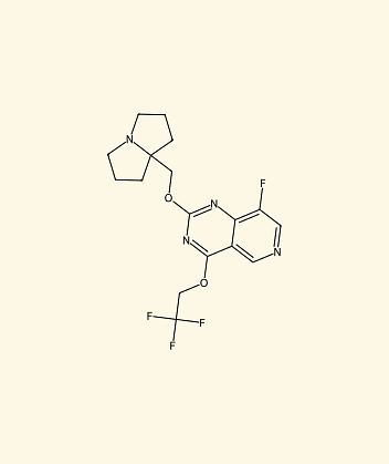 Fc1cncc2c(OCC(F)(F)F)nc(OCC34CCCN3CCC4)nc12